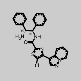 N[C@H](c1ccccc1)[C@H](NC(=O)c1nc(-c2cnn3ccccc23)c(Cl)s1)c1ccccc1